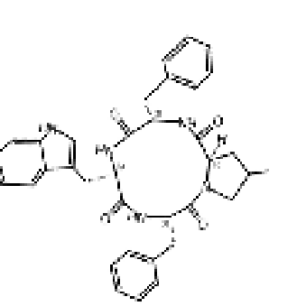 CC1C[C@@H]2C(=O)N[C@@H](Cc3ccccc3)C(=O)N[C@@H](Cc3c[nH]c4ccccc34)C(=O)N[C@@H](Cc3ccccc3)C(=O)N2C1